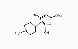 COc1cc(O)c(C2CCN(C)CC2)c(O)c1